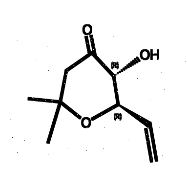 C=C[C@H]1OC(C)(C)CC(=O)[C@@H]1O